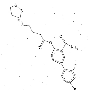 NC(=O)c1cc(-c2ccc(F)cc2F)ccc1OC(=O)CCCC[C@@H]1CCSS1